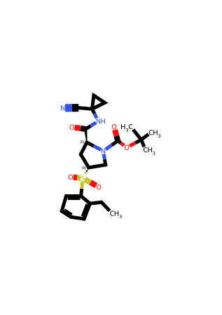 CCc1ccccc1S(=O)(=O)[C@@H]1C[C@@H](C(=O)NC2(C#N)CC2)N(C(=O)OC(C)(C)C)C1